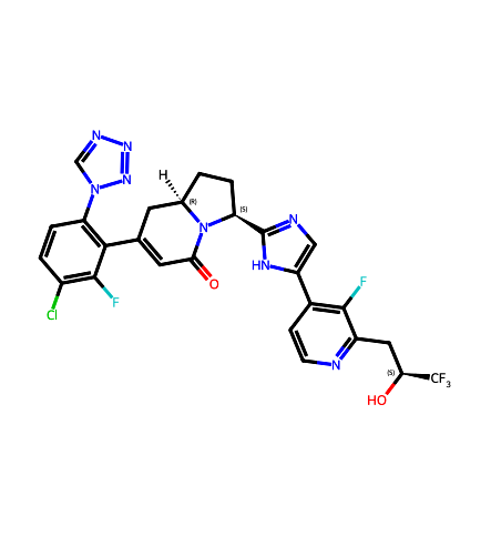 O=C1C=C(c2c(-n3cnnn3)ccc(Cl)c2F)C[C@H]2CC[C@@H](c3ncc(-c4ccnc(C[C@H](O)C(F)(F)F)c4F)[nH]3)N12